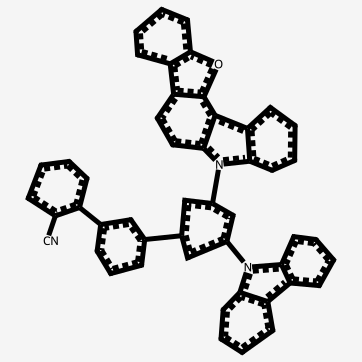 N#Cc1ccccc1-c1cccc(-c2cc(-n3c4ccccc4c4ccccc43)cc(-n3c4ccccc4c4c5oc6ccccc6c5ccc43)c2)c1